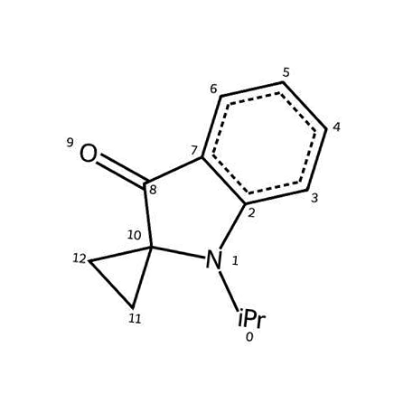 CC(C)N1c2ccccc2C(=O)C12CC2